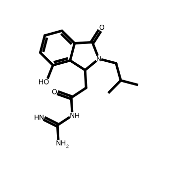 CC(C)CN1C(=O)c2cccc(O)c2C1CC(=O)NC(=N)N